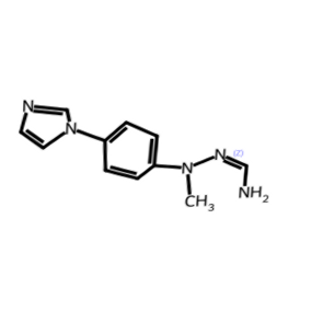 CN(/N=C\N)c1ccc(-n2ccnc2)cc1